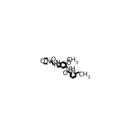 CCc1cccc(C(=O)Nc2cc3cn(CC(=O)N4CCOCC4)nc3cc2OC)n1